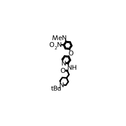 CNc1ccc(Oc2ccnc(NC(=O)CC3CCN(C(C)(C)C)CC3)c2)cc1[N+](=O)[O-]